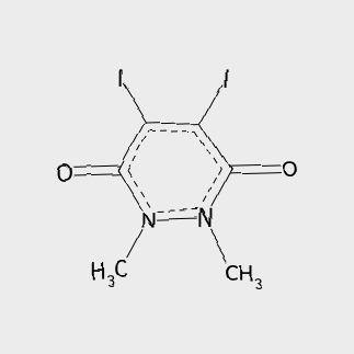 Cn1c(=O)c(I)c(I)c(=O)n1C